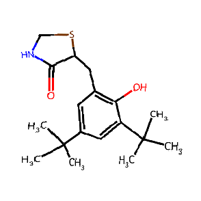 CC(C)(C)c1cc(CC2SCNC2=O)c(O)c(C(C)(C)C)c1